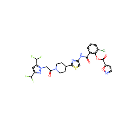 O=C(Oc1c(Cl)cccc1C(=O)Nc1csc(C2CCN(C(=O)Cn3nc(C(F)F)cc3C(F)F)CC2)n1)c1ccno1